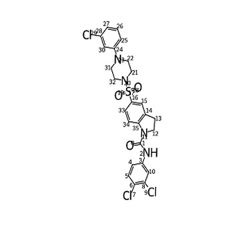 O=C(Nc1ccc(Cl)c(Cl)c1)N1CCc2cc(S(=O)(=O)N3CCN(c4cccc(Cl)c4)CC3)ccc21